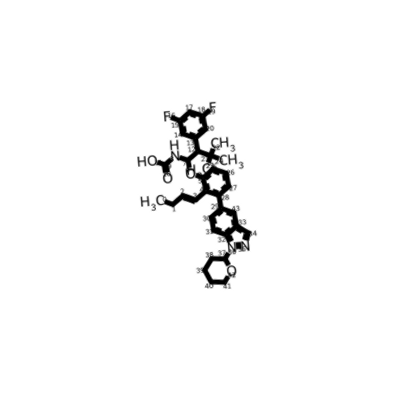 CC/C=C/c1c(OC(NC(=O)O)C(c2cc(F)cc(F)c2)C(C)(C)C)cccc1-c1ccc2c(cnn2C2CCCCO2)c1